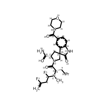 C=C(F)CC(F)N(C)[C@@H](CC(C)C)C(=O)N1C[C@]2(C[C@H]1C(N)=O)C(=O)Nc1ccc(C(=O)N3CCOCC3)cc12